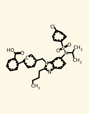 CCCCc1nc2ccc(N(C(C)C)S(=O)(=O)c3ccc(Cl)cc3)cc2n1Cc1ccc(-c2ccccc2C(=O)O)cc1